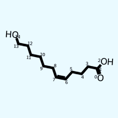 O=C(O)CCC/C=C\CCCCCCO